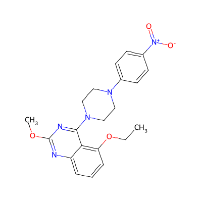 CCOc1cccc2nc(OC)nc(N3CCN(c4ccc([N+](=O)[O-])cc4)CC3)c12